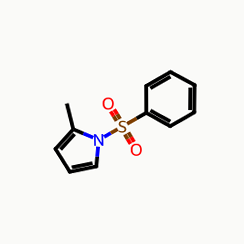 Cc1cccn1S(=O)(=O)c1ccccc1